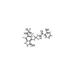 Cc1c2c(c(CC(C)(C)CNC(=O)c3ccccc3O)c(C)c1NS(C)(=O)=O)N(C(C)C)CC2